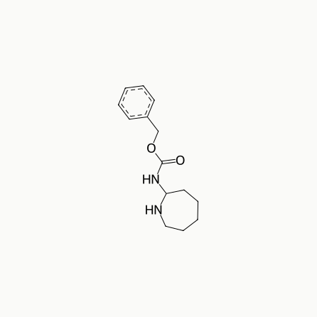 O=C(NC1CCCCCN1)OCc1ccccc1